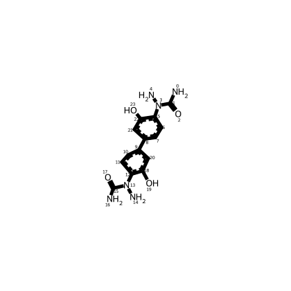 NC(=O)N(N)c1ccc(-c2ccc(N(N)C(N)=O)c(O)c2)cc1O